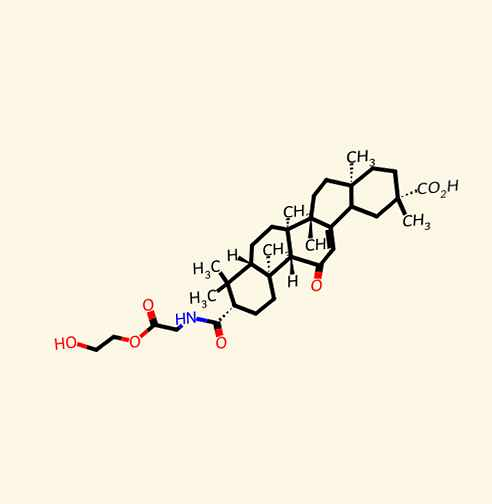 CC1(C)[C@@H](C(=O)NCC(=O)OCCO)CC[C@]2(C)[C@H]3C(=O)C=C4C5C[C@@](C)(C(=O)O)CC[C@]5(C)CC[C@@]4(C)[C@]3(C)CC[C@@H]12